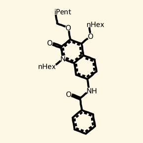 CCCCCCOc1c(OCC(C)CCC)c(=O)n(CCCCCC)c2cc(NC(=O)c3ccccc3)ccc12